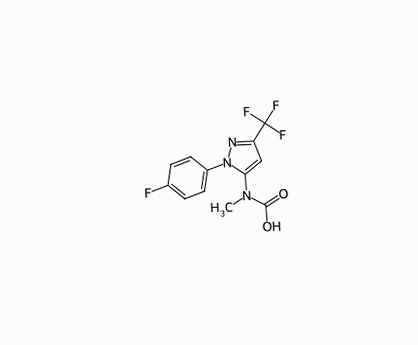 CN(C(=O)O)c1cc(C(F)(F)F)nn1-c1ccc(F)cc1